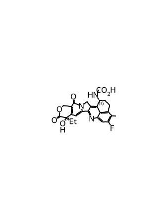 CC[C@@]1(O)C(=O)OCc2c1cc1n(c2=O)Cc2c-1nc1cc(F)c(C)c3c1c2[C@@H](NC(=O)O)CC3